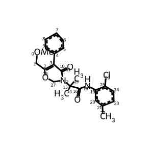 COCC1=C(c2ccccc2)C(=O)N(C(C)(C)C(=O)Nc2cc(C)ccc2Cl)CO1